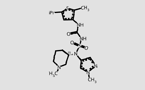 Cc1sc(C(C)C)cc1NC(=O)NS(=O)(=O)N(c1cnn(C)c1)[C@H]1CCCN(C)C1